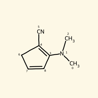 CN(C)C1=C(C#N)CC=C1